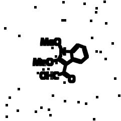 COc1c(C(=O)C=O)c2ccccc2n1OC